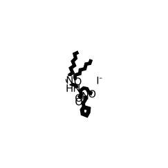 CCCCCCCC[N+](C)(CCCCCCCC)CC(=O)NC1CCC(=O)N(CC(=O)c2ccccc2)C1=O.[I-]